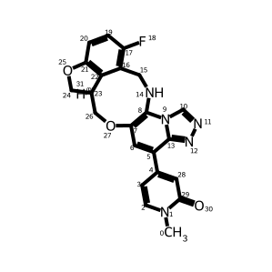 Cn1ccc(-c2cc3c(n4cnnc24)NCc2c(F)ccc4c2[C@H](CO4)CO3)cc1=O